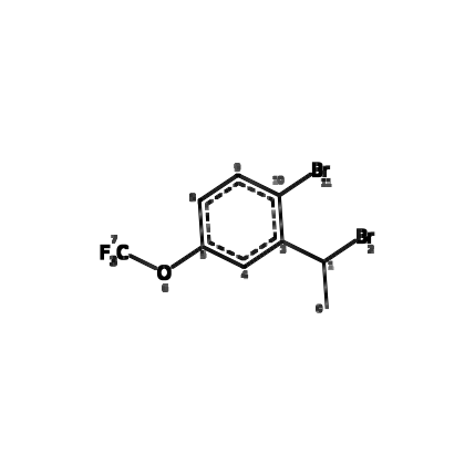 CC(Br)c1cc(OC(F)(F)F)ccc1Br